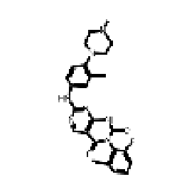 Cc1cc(Nc2ncc3c(=O)n(-c4c(F)cccc4F)c(=O)[nH]c3n2)ccc1N1CCN(C)CC1